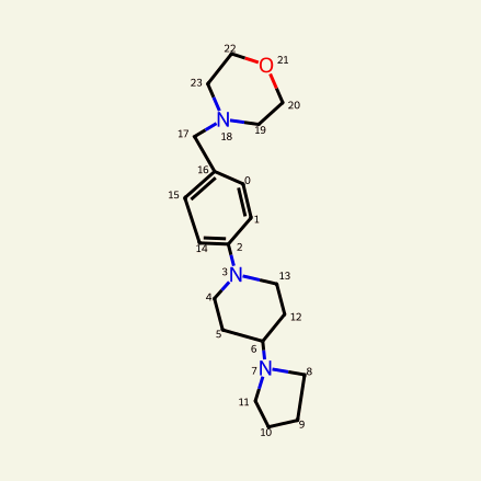 c1cc(N2CCC(N3CCCC3)CC2)ccc1CN1CCOCC1